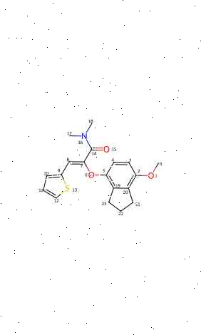 COc1ccc(OC(=Cc2cccs2)C(=O)N(C)C)c2c1CCC2